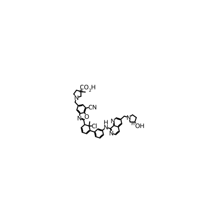 CC1(Cl)C(c2cccc(Nc3nccc4cc(CN5CC[C@@H](O)C5)cnc34)c2)=CC=CC1c1nc2cc(CN3CC[C@@](C)(C(=O)O)C3)cc(C#N)c2o1